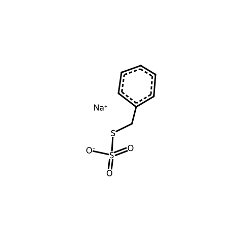 O=S(=O)([O-])SCc1ccccc1.[Na+]